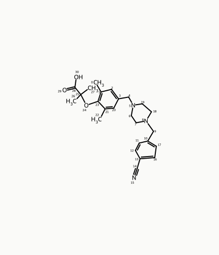 Cc1cc(CN2CCN(Cc3ccc(C#N)cc3)CC2)cc(C)c1OC(C)(C)C(=O)O